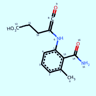 Cc1cccc(NC(=C=O)CCC(=O)O)c1C(N)=O